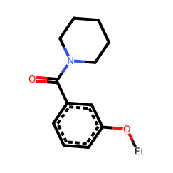 CCOc1cccc(C(=O)N2CCCCC2)c1